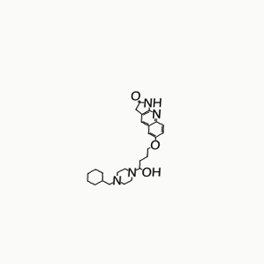 O=C1Cc2cc3cc(OCCCC(O)N4CCN(CC5CCCCC5)CC4)ccc3nc2N1